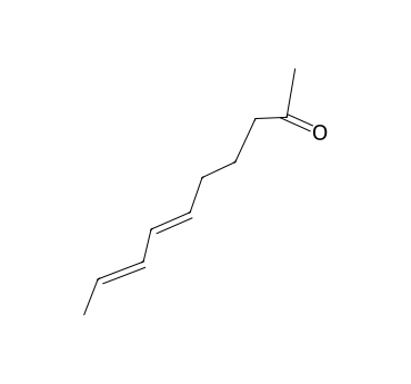 CC=CC=CCCCC(C)=O